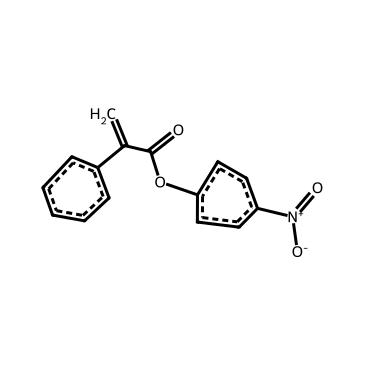 C=C(C(=O)Oc1ccc([N+](=O)[O-])cc1)c1ccccc1